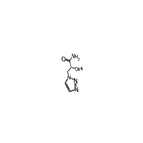 NC(=O)C(O)Cn1ccnn1